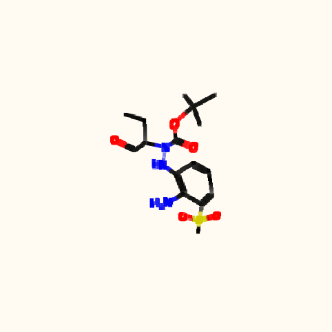 CCC(C=O)N(Nc1cccc(S(C)(=O)=O)c1N)C(=O)OC(C)(C)C